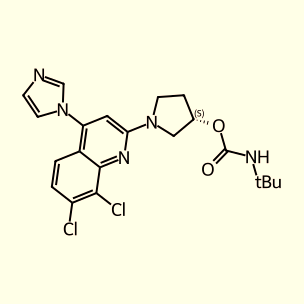 CC(C)(C)NC(=O)O[C@H]1CCN(c2cc(-n3ccnc3)c3ccc(Cl)c(Cl)c3n2)C1